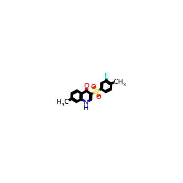 Cc1ccc2c(=O)c(S(=O)(=O)c3ccc(C)c(F)c3)c[nH]c2c1